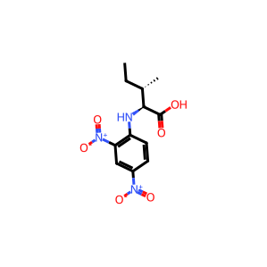 CC[C@H](C)[C@H](Nc1ccc([N+](=O)[O-])cc1[N+](=O)[O-])C(=O)O